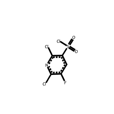 O=S(=O)(Cl)c1cc(F)c(Cl)nc1Cl